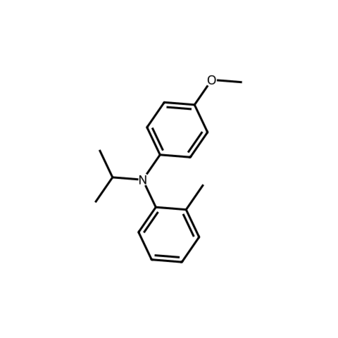 COc1ccc(N(c2ccccc2C)C(C)C)cc1